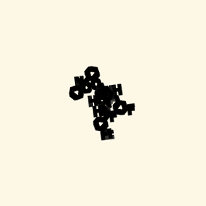 CCc1cccc(CNC[C@H](O)[C@H](Cc2cc(F)cc(F)c2)NC(=O)COc2ccccc2-c2nc3ccccc3o2)c1